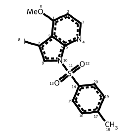 COc1ccnc2c1c(I)cn2S(=O)(=O)c1ccc(C)cc1